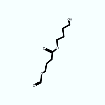 O=COCCCC(=O)OCCCCO